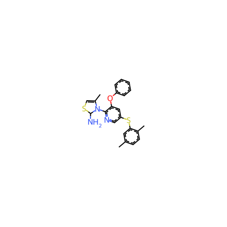 CC1=CSC(N)N1c1ncc(Sc2cc(C)ccc2C)cc1Oc1ccccc1